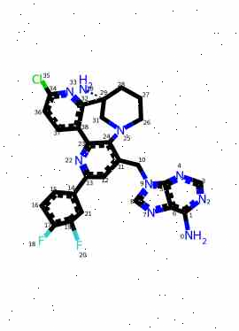 Nc1ncnc2c1ncn2Cc1cc(-c2ccc(F)c(F)c2)nc2c1N1CCC[C@@](N)(C1)c1nc(Cl)ccc1-2